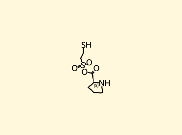 O=C(OS(=O)(=O)CCS)[C@@H]1CCCN1